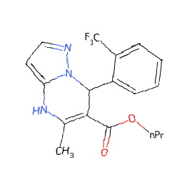 CCCOC(=O)C1=C(C)Nc2ccnn2C1c1ccccc1C(F)(F)F